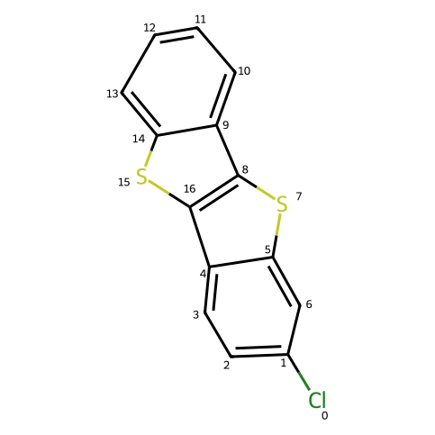 Clc1ccc2c(c1)sc1c3ccccc3sc21